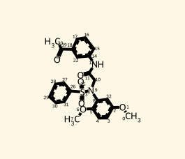 COc1ccc(OC)c(N(CC(=O)Nc2cccc(C(C)=O)c2)S(=O)(=O)c2ccccc2)c1